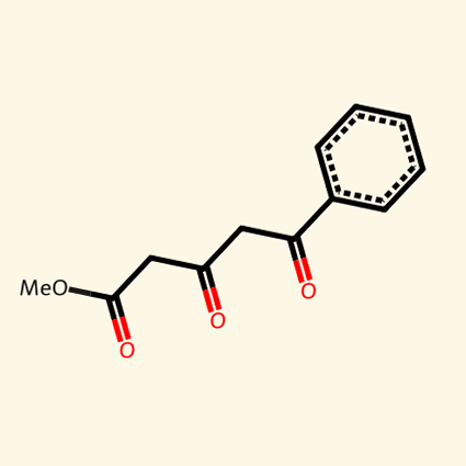 COC(=O)CC(=O)CC(=O)c1ccccc1